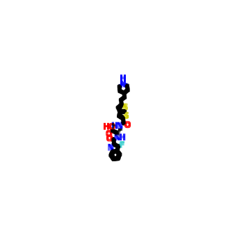 O=C(N[C@@H](CNC(=O)c1cc2cc(CCC3CCNCC3)sc2s1)C(=O)O)C1=Nc2ccccc2C1F